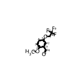 COc1ccc(OCC(F)(F)F)cc1C=O